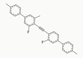 Cc1ccc(-c2ccc(C#Cc3c(C)cc(-c4ccc(C)cc4)cc3F)c(F)c2)cc1